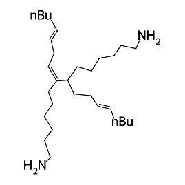 CCCC/C=C/C/C=C(/CCCCCCN)C(CC/C=C/CCCC)CCCCCCN